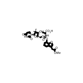 COC(=O)Cc1coc2c(OP(=O)(N[C@@H](C)C(=O)O)OC[C@H]3O[C@@H](n4ccc(=O)[nH]c4=O)[C@](C)(F)[C@@H]3O)cccc12